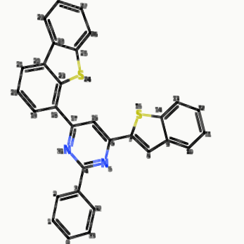 c1ccc(-c2nc(-c3cc4ccccc4s3)cc(-c3cccc4c3sc3ccccc34)n2)cc1